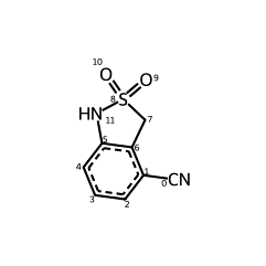 N#Cc1cccc2c1CS(=O)(=O)N2